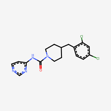 O=C(Nc1ccncn1)N1CCC(Cc2ccc(Cl)cc2Cl)CC1